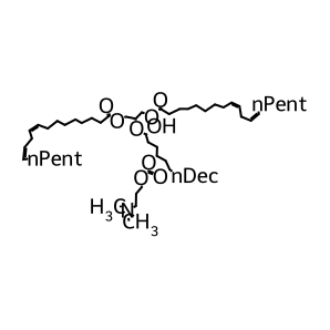 CCCCC/C=C\C/C=C\CCCCCCCC(=O)OCC(COC(=O)CCCCCCC/C=C\C/C=C\CCCCC)OC(O)CCC(CCCCCCCCCCCC)OC(=O)OCCCN(C)C